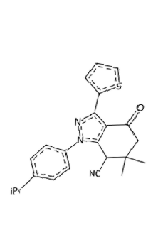 CC(C)c1ccc(-n2nc(-c3cccs3)c3c2C(C#N)C(C)(C)CC3=O)cc1